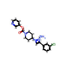 Nn1c(-c2cccc(Cl)c2)cn1C1CCN(C(=O)Oc2cccnc2)CC1